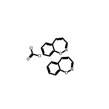 C1=Cc2ccccc2ON=C1.C1=Cc2ccccc2ON=C1.O=C(Cl)Cl